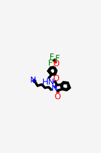 N#CCCCCCN1C(=O)c2ccccc2C1C(=O)NCc1ccc(OC(F)(F)F)cc1